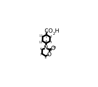 O=C(O)C1CCC(N2CCCOC2=O)CC1